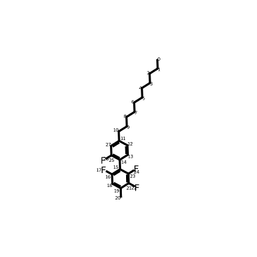 CCCCCCCCCCCc1ccc(-c2c(F)cc(C)c(F)c2F)c(F)c1